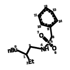 CCCCC(CC)CNS(=O)(=O)Cc1ccccc1